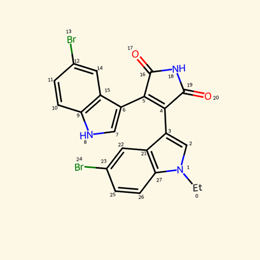 CCn1cc(C2=C(c3c[nH]c4ccc(Br)cc34)C(=O)NC2=O)c2cc(Br)ccc21